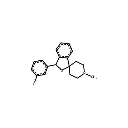 CN1CCC2(CC1)SC(c1cccc(F)c1)c1ccccc12